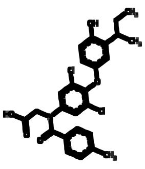 CCC(C)c1cc(Oc2c(Cl)cc(N(CC(=O)O)C(=O)c3ccc(C)cc3)cc2Cl)ccc1O